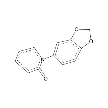 O=c1ccccn1-c1ccc2c(c1)OCO2